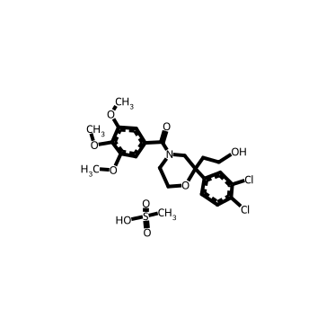 COc1cc(C(=O)N2CCOC(CCO)(c3ccc(Cl)c(Cl)c3)C2)cc(OC)c1OC.CS(=O)(=O)O